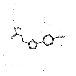 CNC(=O)CCc1ccn(-c2ccc(OC)cc2)n1